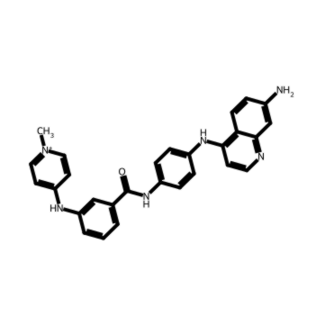 C[n+]1ccc(Nc2cccc(C(=O)Nc3ccc(Nc4ccnc5cc(N)ccc45)cc3)c2)cc1